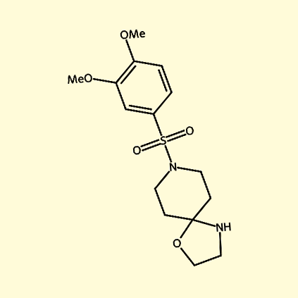 COc1ccc(S(=O)(=O)N2CCC3(CC2)NCCO3)cc1OC